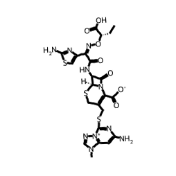 CC[C@H](O/N=C(\C(=O)NC1C(=O)N2C(C(=O)[O-])=C(CSc3nc(N)cc4n(C)cn[n+]34)CS[C@@H]12)c1csc(N)n1)C(=O)O